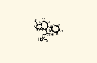 Cc1noc2c(C(O[SiH](C)C)C(C)(C)C)c(-c3ccccn3)ccc12